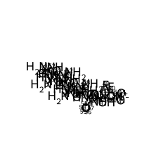 N=C(N)NC(NC(=O)C(NC(=N)N)NC(=O)C(NC(=N)N)NC(=O)C(NC(=N)N)NC(=O)C(NC(=O)C(O)Nc1ccc([N+](=O)[O-])cc1C(F)(F)F)c1ccccc1)C(=O)NC(N)C(N)=O